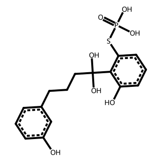 O=P(O)(O)Sc1cccc(O)c1C(O)(O)CCCc1cccc(O)c1